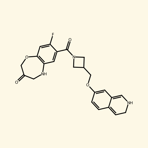 O=C1CNc2cc(C(=O)N3CC(COc4ccc5c(c4)=CNCC=5)C3)c(F)cc2OC1